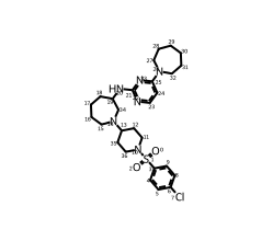 O=S(=O)(c1ccc(Cl)cc1)N1CCC(N2CCCCC(Nc3nccc(N4CCCCCC4)n3)C2)CC1